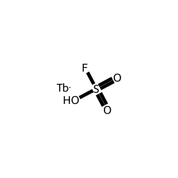 O=S(=O)(O)F.[Tb]